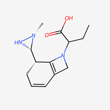 CCC(C(=O)O)N1CC2=C1[C@@H]([C@@H]1N[N@]1C)CC=C2